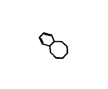 C1=CC2CCCCCCC2C=C1